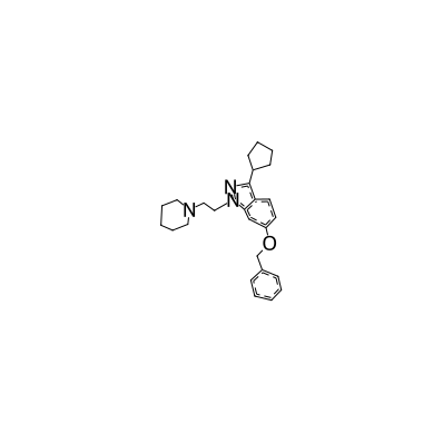 c1ccc(COc2ccc3c(C4CCCC4)nn(CCN4CCCCC4)c3c2)cc1